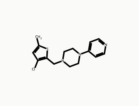 Cc1cc(Cl)c(CN2CCN(c3ccncc3)CC2)s1